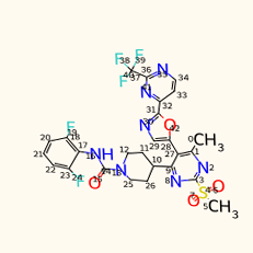 Cc1nc(S(C)(=O)=O)nc(C2CCN(C(=O)Nc3c(F)cccc3F)CC2)c1-c1cnc(-c2ccnc(C(F)(F)F)n2)o1